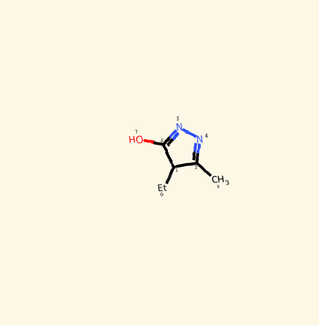 CCC1C(C)=NN=C1O